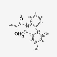 C=CC(=O)N(c1ccccc1)C([C]=O)c1cc(C)cc(C)c1